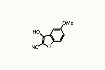 COc1ccc2oc(C#N)c(O)c2c1